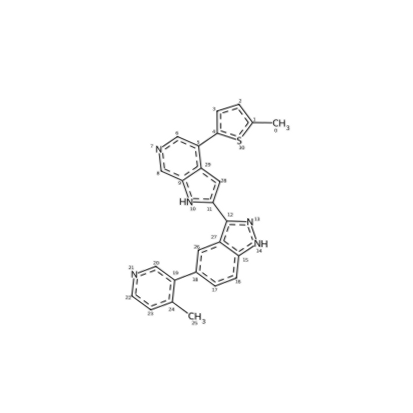 Cc1ccc(-c2cncc3[nH]c(-c4n[nH]c5ccc(-c6cnccc6C)cc45)cc23)s1